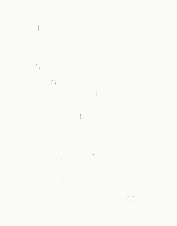 COCc1c(C)sc2nc(Cn3nc(C(F)(F)F)cc3Cl)cc(=O)n12